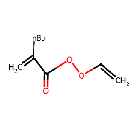 C=COOC(=O)C(=C)CCCC